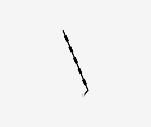 CC#CC#CC#CC#CC#CCCl